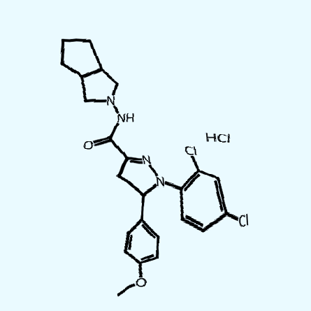 COc1ccc(C2CC(C(=O)NN3CC4CCCC4C3)=NN2c2ccc(Cl)cc2Cl)cc1.Cl